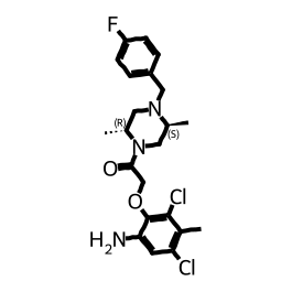 Cc1c(Cl)cc(N)c(OCC(=O)N2C[C@H](C)N(Cc3ccc(F)cc3)C[C@H]2C)c1Cl